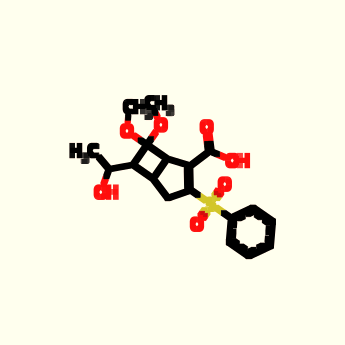 COC1(OC)C2C(C(=O)O)=C(S(=O)(=O)c3ccccc3)CC2C1C(C)O